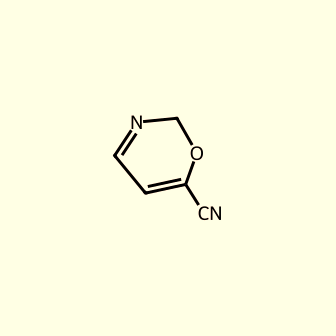 N#CC1=CC=NCO1